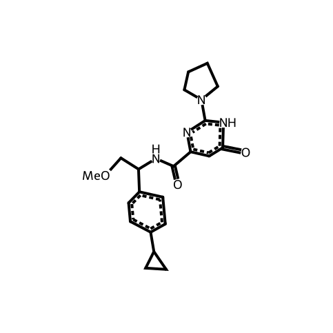 COCC(NC(=O)c1cc(=O)[nH]c(N2CCCC2)n1)c1ccc(C2CC2)cc1